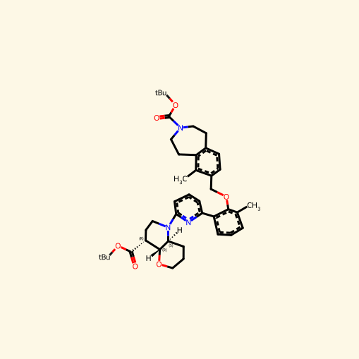 Cc1cccc(-c2cccc(N3CC[C@@H](C(=O)OC(C)(C)C)[C@H]4OCCC[C@@H]43)n2)c1OCc1ccc2c(c1C)CCN(C(=O)OC(C)(C)C)CC2